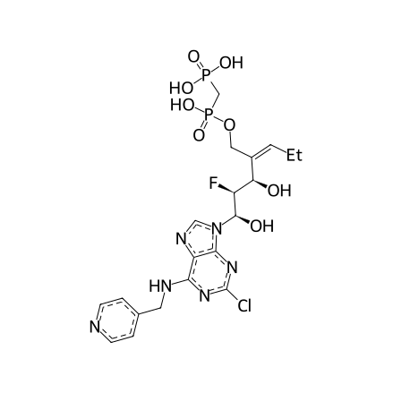 CC/C=C(/COP(=O)(O)CP(=O)(O)O)[C@@H](O)[C@H](F)[C@@H](O)n1cnc2c(NCc3ccncc3)nc(Cl)nc21